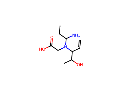 C=CC(C(C)O)N(CC(=O)O)C(N)CC